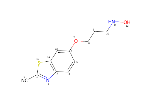 N#Cc1nc2ccc(OCCCNO)cc2s1